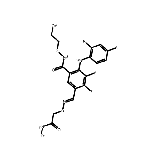 CC(C)NC(=O)CON=Cc1cc(C(=O)NOCCO)c(Nc2ccc(I)cc2F)c(F)c1F